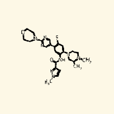 CC1CN(c2cc(F)c(-c3cnc(N4CCOCC4)nc3)cc2NC(=O)c2ccn(C)n2)CCN1C